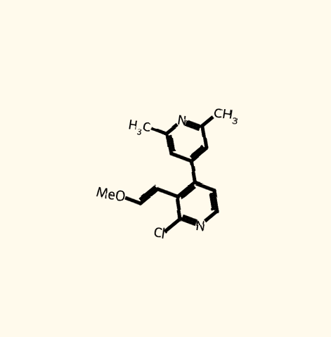 CO/C=C/c1c(-c2cc(C)nc(C)c2)ccnc1Cl